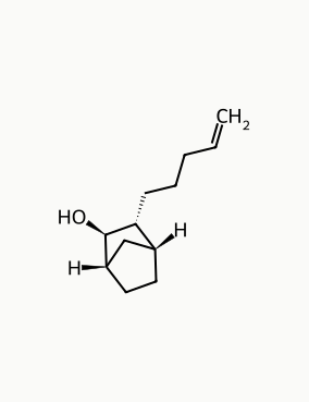 C=CCCC[C@@H]1[C@@H]2CC[C@@H](C2)[C@H]1O